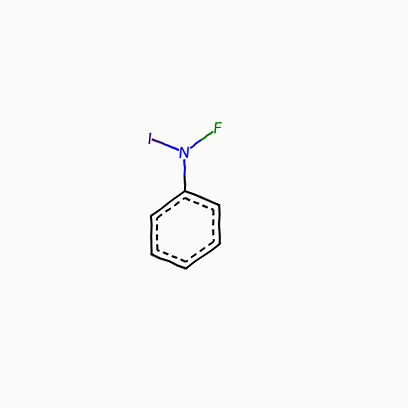 FN(I)c1ccccc1